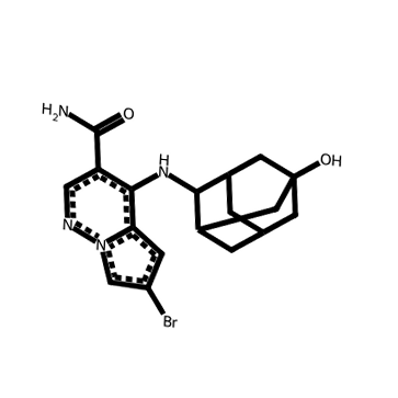 NC(=O)c1cnn2cc(Br)cc2c1NC1C2CC3CC1CC(O)(C3)C2